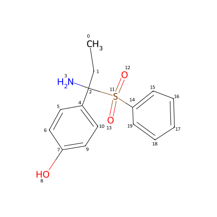 CCC(N)(c1ccc(O)cc1)S(=O)(=O)c1ccccc1